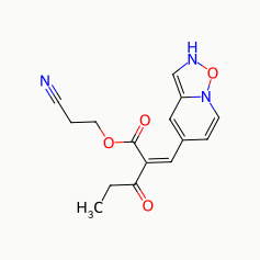 CCC(=O)C(=CC1=CC2=CNON2C=C1)C(=O)OCCC#N